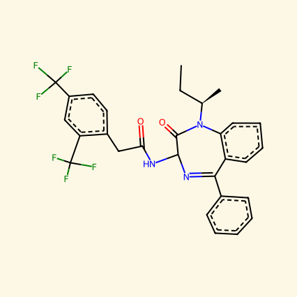 CC[C@@H](C)N1C(=O)C(NC(=O)Cc2ccc(C(F)(F)F)cc2C(F)(F)F)N=C(c2ccccc2)c2ccccc21